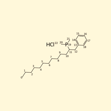 CCCCCCCCCCCC(Cc1ccccc1)P(C)C.Cl